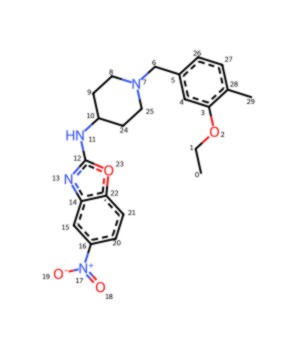 CCOc1cc(CN2CCC(Nc3nc4cc([N+](=O)[O-])ccc4o3)CC2)ccc1C